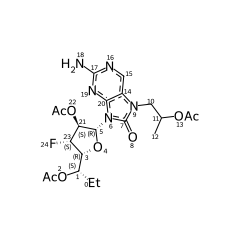 CC[C@H](OC(C)=O)[C@H]1O[C@@H](n2c(=O)n(CC(C)OC(C)=O)c3cnc(N)nc32)[C@H](OC(C)=O)[C@H]1F